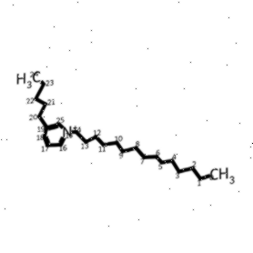 CCCCCCCCCCCCCCC[n+]1cccc(CCCCC)c1